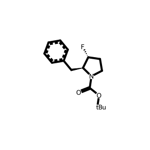 CC(C)(C)OC(=O)N1CC[C@@H](F)[C@@H]1Cc1ccccc1